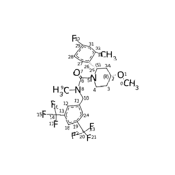 CO[C@@H]1CCN(C(=O)N(C)Cc2cc(C(F)(F)F)cc(C(F)(F)F)c2)[C@H](c2ccc(F)cc2C)C1